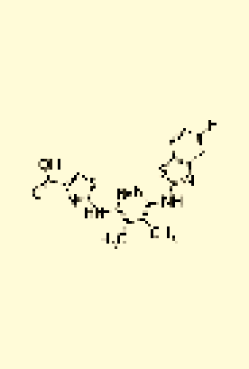 Cc1c(Nc2nc(C(=O)O)cs2)nnc(Nc2nc3cc(F)ccc3s2)c1C